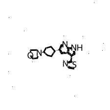 c1csc(-c2c[nH]c3ncc([C@H]4CC[C@@H](N5CCOCC5)CC4)cc23)n1